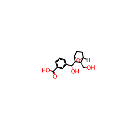 O=C(O)c1cccc([C@@H](O)[C@H]2C3CC[C@@H](O3)[C@H]2CO)c1